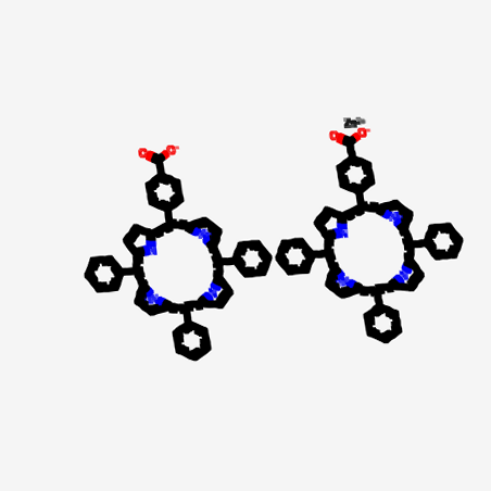 O=C([O-])c1ccc(-c2c3nc(c(-c4ccccc4)c4ccc([nH]4)c(-c4ccccc4)c4nc(c(-c5ccccc5)c5ccc2[nH]5)C=C4)C=C3)cc1.O=C([O-])c1ccc(-c2c3nc(c(-c4ccccc4)c4ccc([nH]4)c(-c4ccccc4)c4nc(c(-c5ccccc5)c5ccc2[nH]5)C=C4)C=C3)cc1.[Zn+2]